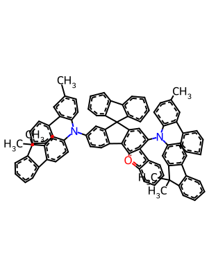 Cc1ccc(N(c2ccc3c(c2)C(C)(C)c2ccccc2-3)c2ccc3c(c2)C2(c4ccccc4-c4ccccc42)c2cc(N(c4ccc5c(c4)C(C)(C)c4ccccc4-5)c4ccc(C)cc4-c4ccccc4)c4c(oc5ccccc54)c2-3)c(-c2ccccc2)c1